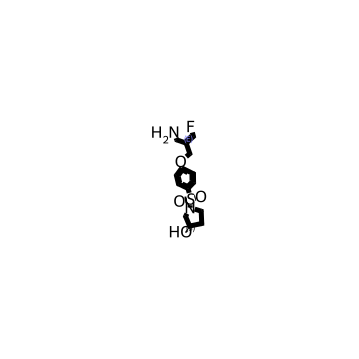 NC/C(=C\F)COc1ccc(S(=O)(=O)N2CC[C@H](O)C2)cc1